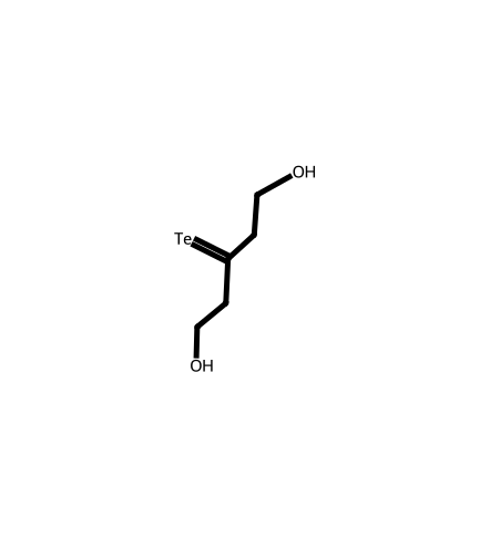 OCCC(=[Te])CCO